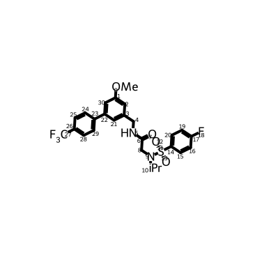 COc1cc(CNC(=O)CN(C(C)C)S(=O)(=O)c2ccc(F)cc2)cc(-c2ccc(C(F)(F)F)cc2)c1